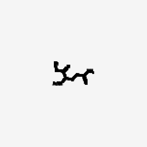 CC(=O)NC(CCC(N)=O)C(=O)OC(C)C